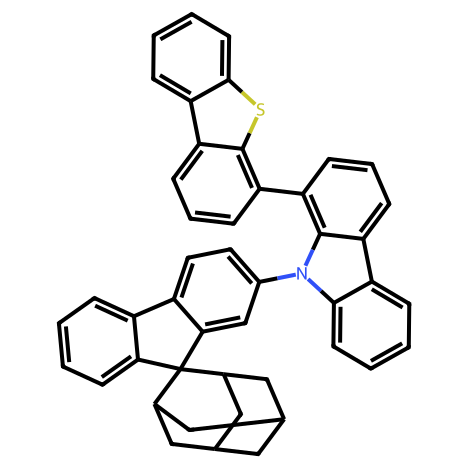 c1ccc2c(c1)-c1ccc(-n3c4ccccc4c4cccc(-c5cccc6c5sc5ccccc56)c43)cc1C21C2CC3CC(C2)CC1C3